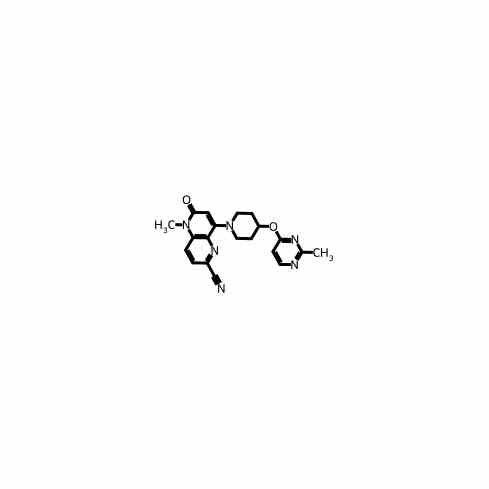 Cc1nccc(OC2CCN(c3cc(=O)n(C)c4ccc(C#N)nc34)CC2)n1